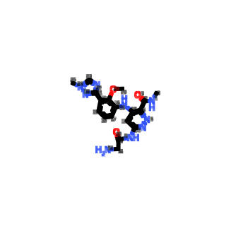 CNC(=O)c1nnc(NC(=O)CN)cc1Nc1cccc(-c2ncn(C)n2)c1OC